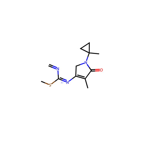 C=N/C(=N\C1=C(C)C(=O)N(C2(C)CC2)C1)SC